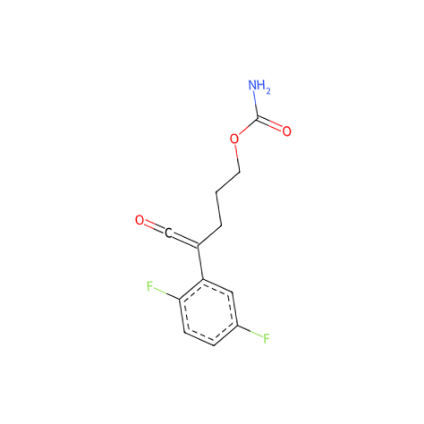 NC(=O)OCCCC(=C=O)c1cc(F)ccc1F